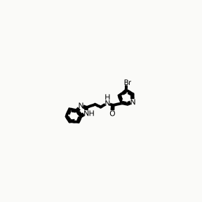 O=C(NCCc1nc2ccccc2[nH]1)c1cncc(Br)c1